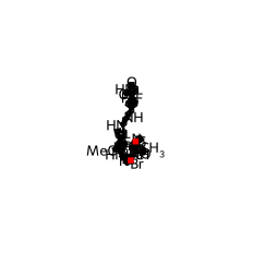 CCc1cc(Nc2ncc(Br)c(Nc3ccc4ncsc4c3P(C)(C)=O)n2)c(OC)cc1N1CCC(NCCNCCc2cc(F)c(C3CCC(=O)NC3=O)c(F)c2)CC1